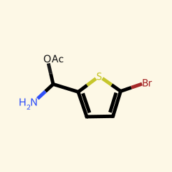 CC(=O)OC(N)c1ccc(Br)s1